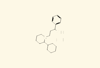 Cl.OC(CCN1CCCCC1C1CCCCC1)c1ccccc1